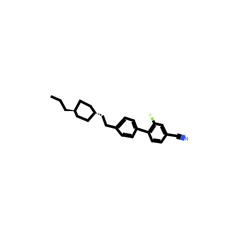 CCC[C@H]1CC[C@H](CCc2ccc(-c3ccc(C#N)cc3F)cc2)CC1